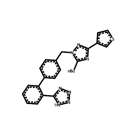 CCCCc1nc(-c2ccsc2)nn1Cc1ccc(-c2ccccc2-c2nnn[nH]2)cc1